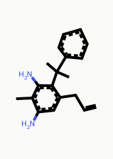 C=CCc1cc(N)c(C)c(N)c1C(C)(C)c1ccccc1